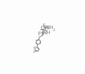 Cc1ccc(-c2ccc(CCCNC(C)(C(N)=S)C(C)(O)C(F)F)cc2)s1